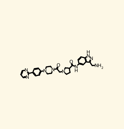 NCc1n[nH]c2ccc(NC(=O)C3CCN(CC(=O)N4CCN(c5ccc(-c6ncccn6)cc5)CC4)C3)cc12